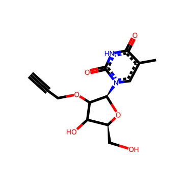 C#CCOC1C(O)[C@H](CO)O[C@@H]1n1cc(C)c(=O)[nH]c1=O